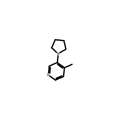 Cc1ccncc1N1CCCC1